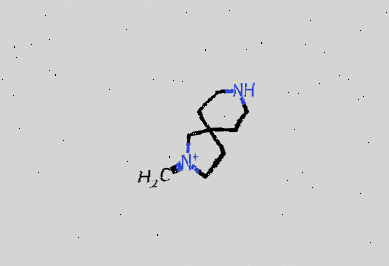 C=[N+]1CCC2(CCNCC2)C1